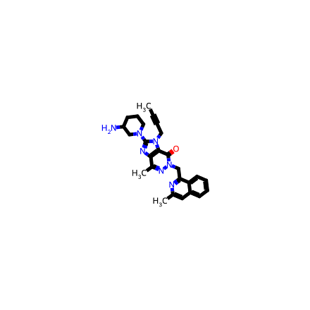 CC#CCn1c(N2CCCC(N)C2)nc2c(C)nn(Cc3nc(C)cc4ccccc34)c(=O)c21